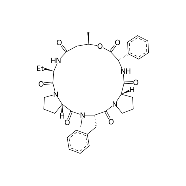 CC[C@H]1NC(=O)C[C@@H](C)OC(=O)[C@H](c2ccccc2)NC(=O)[C@@H]2CCCN2C(=O)[C@H](Cc2ccccc2)N(C)C(=O)[C@@H]2CCCN2C1=O